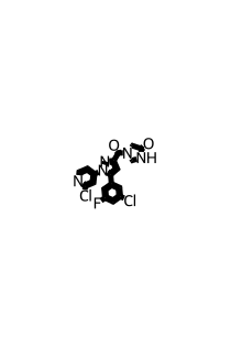 O=C1CN(C(=O)c2cc(-c3cc(F)cc(Cl)c3)n(-c3ccnc(Cl)c3)n2)CN1